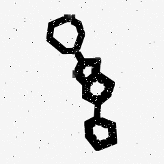 c1ccc(-c2ccc3oc(N4CCCNCC4)nc3c2)cc1